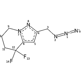 [N-]=[N+]=NCc1cc2n(n1)CCCC2(F)F